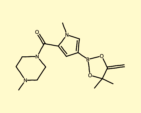 C=C1OB(c2cc(C(=O)N3CCN(C)CC3)n(C)c2)OC1(C)C